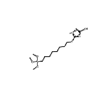 CO[Si](CCCCCCCCSc1nc(S)n[nH]1)(OC)OC